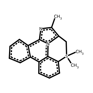 Cc1nc2c3ccccc3c3cccc4c3n2c1CS4(C)C